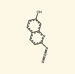 [N-]=[N+]=Nc1ccc2ccc(O)cc2n1